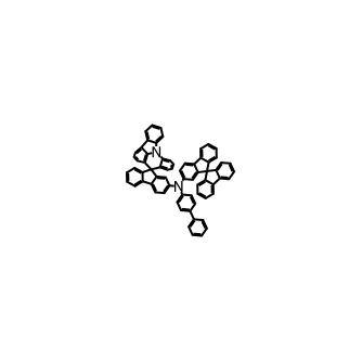 c1ccc(-c2ccc(N(c3ccc4c(c3)C3(c5ccccc5-c5ccccc53)c3ccccc3-4)c3ccc4c(c3)C3(c5ccccc5-4)c4ccccc4-n4c5ccccc5c5cccc3c54)cc2)cc1